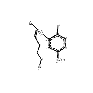 CCC=CCCCBr.Cc1ccc(C(=O)O)cc1C(=O)O